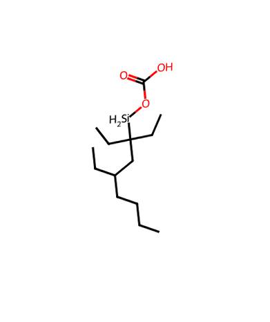 CCCCC(CC)CC(CC)(CC)[SiH2]OC(=O)O